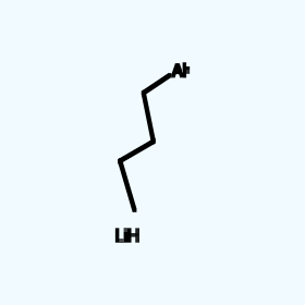 CCC[CH2][Al].[LiH]